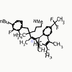 C=C1/C(=C(\C)C(C)(CCCNC)Cc2ccc(CCCC)c(F)c2C)C1c1ccc(C(C)(F)F)cc1C(C)=C(C)C